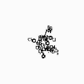 CO[C@@H](CC(=O)N(C)[C@@H](CCc1ccc(Cl)cc1)C(=O)NC1CC[CH]C(Cc2ccccc2)[C@H]1C)NC(=O)[C@H](CCCN1CC(F)(F)C(F)(F)C1)NCc1ccc(Cl)cc1Oc1ccc(-c2cnc(CN(C)C)n2C)cc1